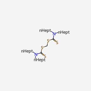 CCCCCCCN(CCCCCCC)C(=S)SCSC(=S)N(CCCCCCC)CCCCCCC